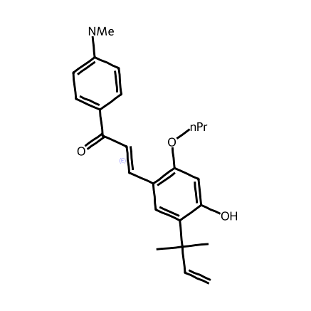 C=CC(C)(C)c1cc(/C=C/C(=O)c2ccc(NC)cc2)c(OCCC)cc1O